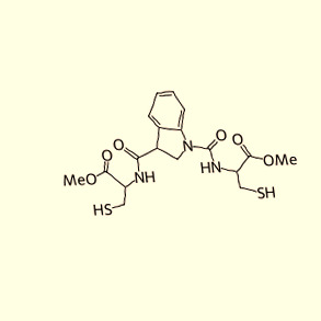 COC(=O)C(CS)NC(=O)C1CN(C(=O)NC(CS)C(=O)OC)c2ccccc21